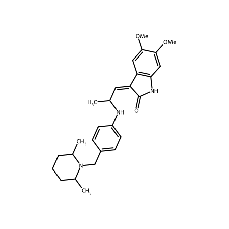 COc1cc2c(cc1OC)C(=CC(C)Nc1ccc(CN3C(C)CCCC3C)cc1)C(=O)N2